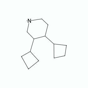 C1CC(C2CC[N]CC2C2CCC2)C1